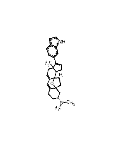 CN(C)[C@@H]1CCC2=CC3=CC[C@]4(C)C(c5ccc6cc[nH]c6c5)=CC[C@H]4C34CC[C@]2(C1)O4